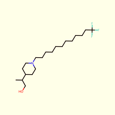 CC(CO)C1CCN(CCCCCCCCCCCC(F)(F)F)CC1